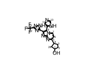 OC1CCC(c2ccn3c(-c4cnc[nH]4)c(-c4nc(C(F)(F)F)n[nH]4)nc3n2)C1